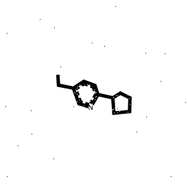 CCc1ccc(C2CCCC2)nc1